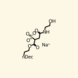 CCCCCCCCCCCCOC(=O)C(CC(=O)NCCO)S(=O)(=O)[O-].[Na+]